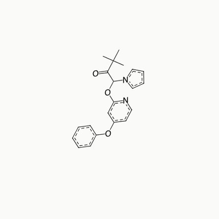 CC(C)(C)C(=O)C(Oc1cc(Oc2ccccc2)ccn1)n1cccc1